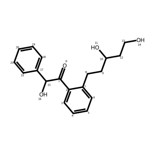 O=C(c1ccccc1CCC(O)CCO)C(O)c1ccccc1